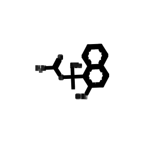 CSC(C)(OC(N)=O)c1c(C=O)ccc2ccccc12